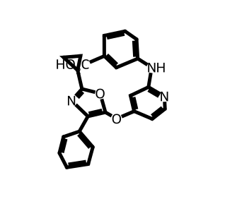 O=C(O)c1cccc(Nc2cc(Oc3oc(C4CC4)nc3-c3ccccc3)ccn2)c1